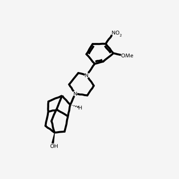 COc1cc(N2CCN([C@H]3C4CC5CC3C[C@@](O)(C5)C4)CC2)ccc1[N+](=O)[O-]